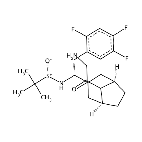 CC(C)(C)[S@+]([O-])N[C@H](Cc1cc(F)c(F)cc1F)C1C[C@H]2CC[C@@H](C1)C2C(=O)CN